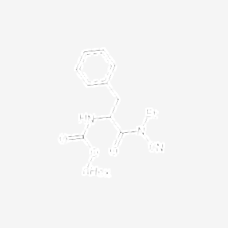 CCCCCCOC(=O)NC(Cc1ccccc1)C(=O)N(C#N)CC